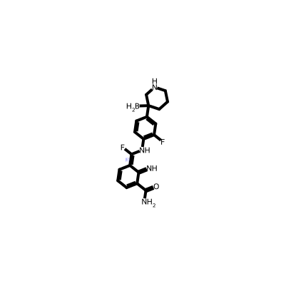 BC1(c2ccc(N/C(F)=C3/C=CC=C(C(N)=O)C3=N)c(F)c2)CCCNC1